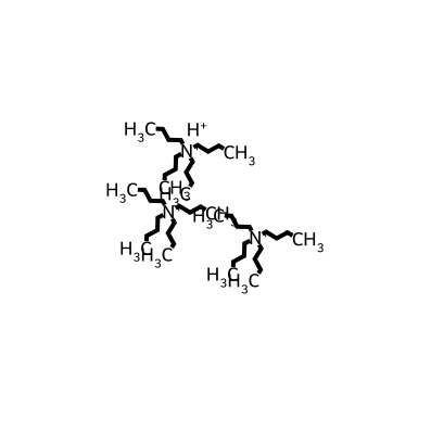 CCCC[N+](CCCC)(CCCC)CCCC.CCCC[N+](CCCC)(CCCC)CCCC.CCCC[N+](CCCC)(CCCC)CCCC.[H+]